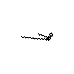 CCCCCCCCCCCCCCCCCCN1C=CN(c2ccccc2)C1CCCCCCC